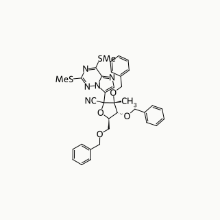 CSc1nc(SC)c2ncc(C3(C#N)O[C@H](COCc4ccccc4)[C@@H](OCc4ccccc4)[C@@]3(C)OCc3ccccc3)n2n1